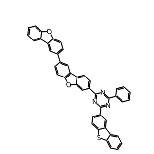 c1ccc(-c2nc(-c3ccc4c(c3)oc3ccc(-c5ccc6oc7ccccc7c6c5)cc34)nc(-c3ccc4sc5ccccc5c4c3)n2)cc1